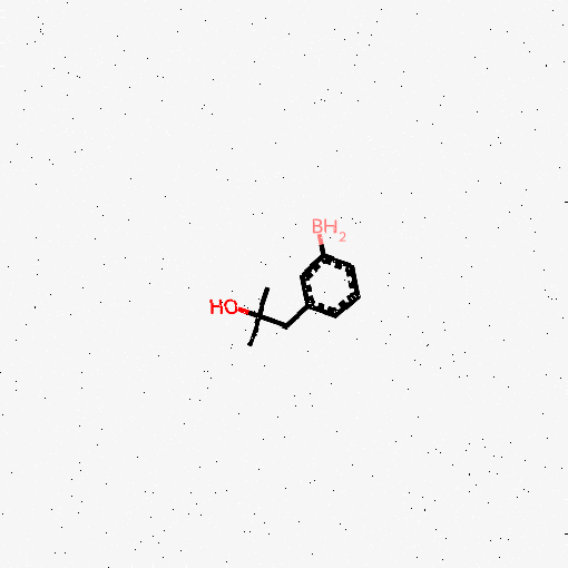 Bc1cccc(CC(C)(C)O)c1